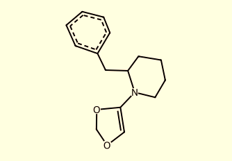 C1=C(N2CCCCC2Cc2ccccc2)OCO1